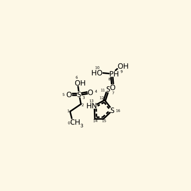 CCCS(=O)(=O)O.O=[PH](O)O.S=c1[nH]ccs1